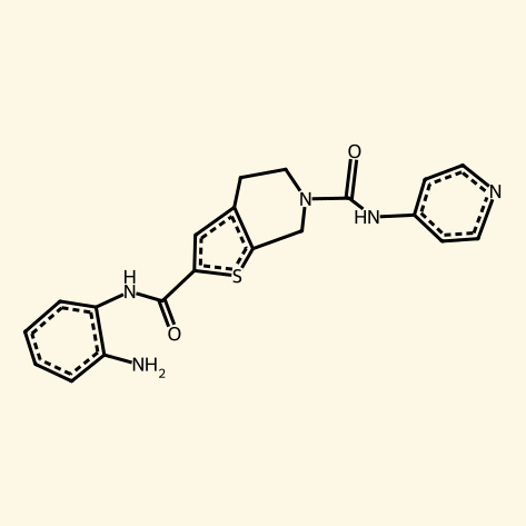 Nc1ccccc1NC(=O)c1cc2c(s1)CN(C(=O)Nc1ccncc1)CC2